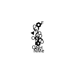 CNC(=O)Nc1ccc2c(c1)OCCC21NC(=O)N(CC(=O)N2Cc3cc(F)ccc3OC[C@H]2C2CC2)C1=O